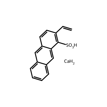 C=Cc1ccc2cc3ccccc3cc2c1S(=O)(=O)O.[CaH2]